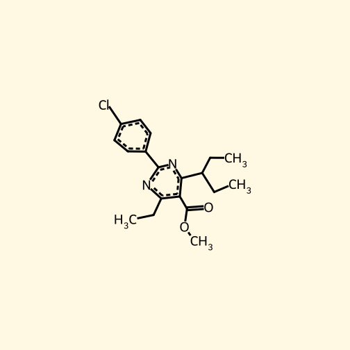 CCc1nc(-c2ccc(Cl)cc2)nc(C(CC)CC)c1C(=O)OC